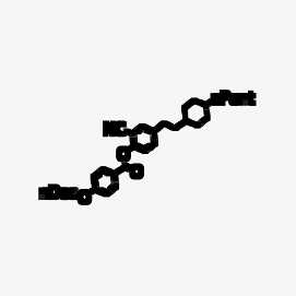 CCCCCCCCCCOc1ccc(C(=O)Oc2ccc(CCC3CCC(CCCCC)CC3)cc2C#N)cc1